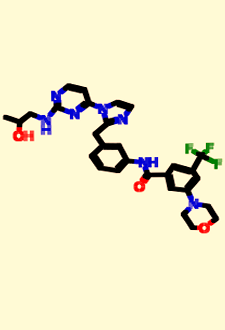 CC(O)CNc1nccc(-n2ccnc2Cc2cccc(NC(=O)c3cc(N4CCOCC4)cc(C(F)(F)F)c3)c2)n1